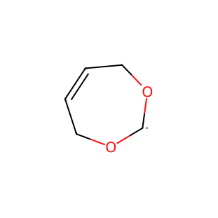 [CH]1OCC=CCO1